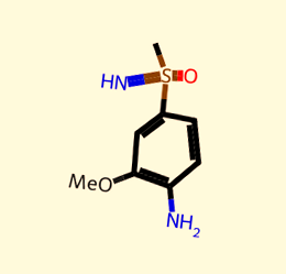 COc1cc(S(C)(=N)=O)ccc1N